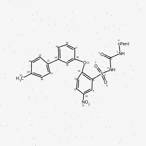 CCCCCNC(=O)NS(=O)(=O)c1cc([N+](=O)[O-])ccc1Oc1cccc(-c2ccc(C)cc2)c1